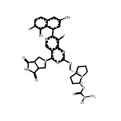 CCc1c(F)ccc2cc(O)cc(-c3ncc4c(N5CC6C(=O)NC(=O)C6C5)nc(OC[C@]56CCCN5[C@@H](OC(=O)N(C)CC)CC6)nc4c3F)c12